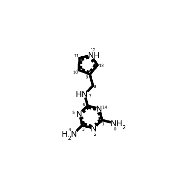 Nc1nc(N)nc(NCc2cc[nH]c2)n1